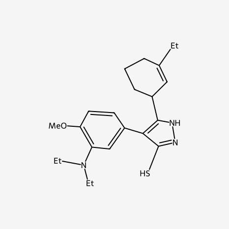 CCC1=CC(c2[nH]nc(S)c2-c2ccc(OC)c(N(CC)CC)c2)CCC1